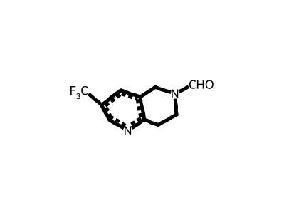 O=CN1CCc2ncc(C(F)(F)F)cc2C1